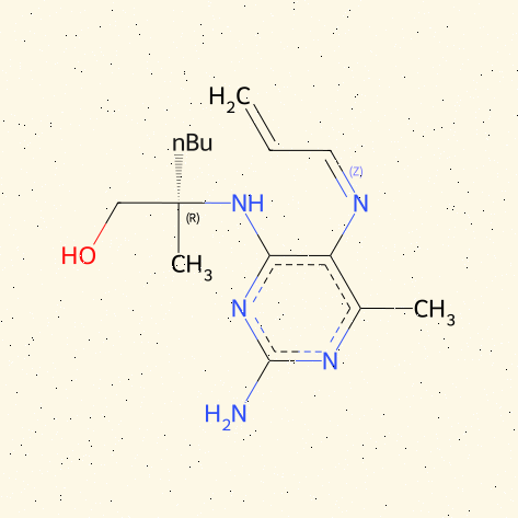 C=C/C=N\c1c(C)nc(N)nc1N[C@@](C)(CO)CCCC